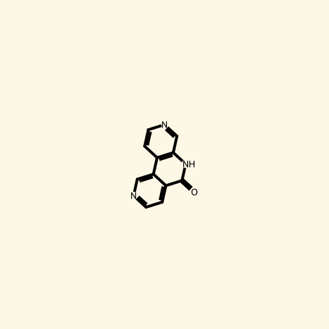 O=c1[nH]c2cnccc2c2cnccc12